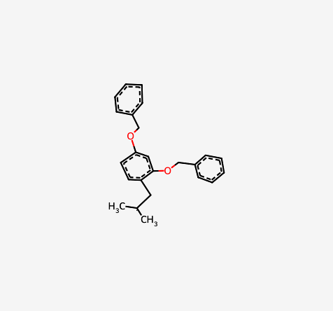 C[C](C)Cc1ccc(OCc2ccccc2)cc1OCc1ccccc1